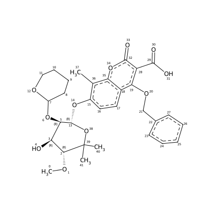 CO[C@@H]1[C@@H](O)[C@@H](OC2CCCCO2)[C@H](Oc2ccc3c(OCc4ccccc4)c(C(=O)O)c(=O)oc3c2C)OC1(C)C